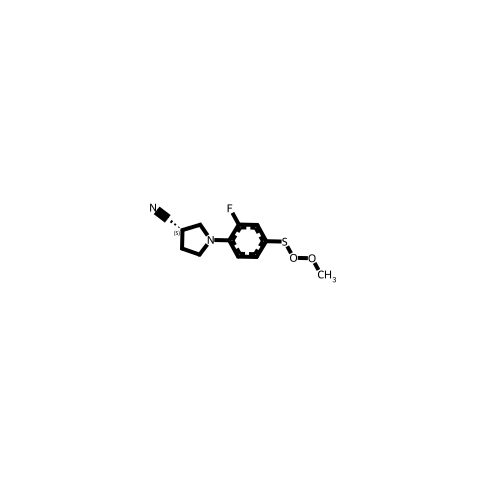 COOSc1ccc(N2CC[C@H](C#N)C2)c(F)c1